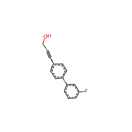 OCC#Cc1ccc(-c2cccc(F)c2)cc1